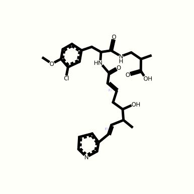 COc1ccc(CC(NC(=O)/C=C/CC(O)C(C)/C=C/c2cccnc2)C(=O)NCC(C)C(=O)O)cc1Cl